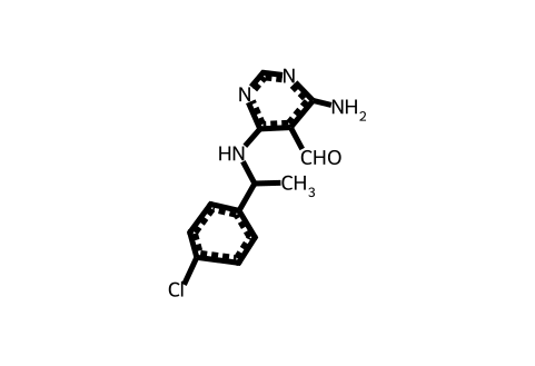 CC(Nc1ncnc(N)c1C=O)c1ccc(Cl)cc1